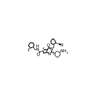 N#Cc1ccccc1Cn1c(N2CCCC(N)C2)nc2cc(C(=O)NCc3ccccc3F)sc2c1=O